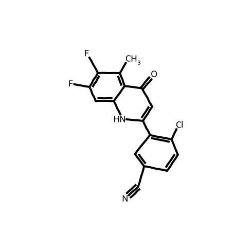 Cc1c(F)c(F)cc2[nH]c(-c3cc(C#N)ccc3Cl)cc(=O)c12